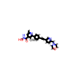 COc1c(C(=O)NO)cc(C)nc1-c1ccc(C#Cc2ccc(CN3CCOCC3)nc2)cc1